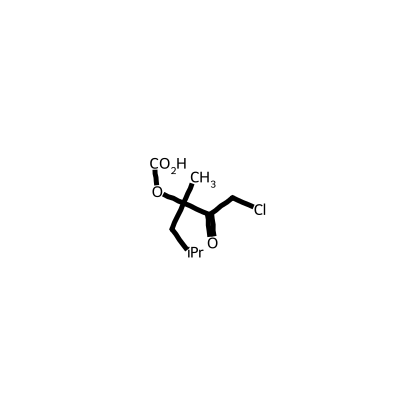 CC(C)CC(C)(OC(=O)O)C(=O)CCl